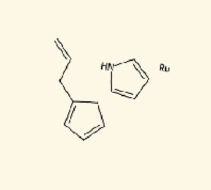 C=CCC1=CC=CC1.[Ru].c1cc[nH]c1